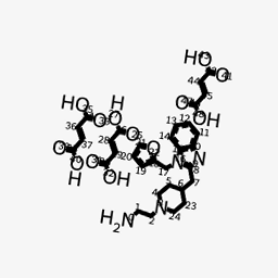 NCCN1CCC(Cc2nc3ccccc3n2Cc2ccco2)CC1.O=C(O)C=CC(=O)O.O=C(O)C=CC(=O)O.O=C(O)C=CC(=O)O